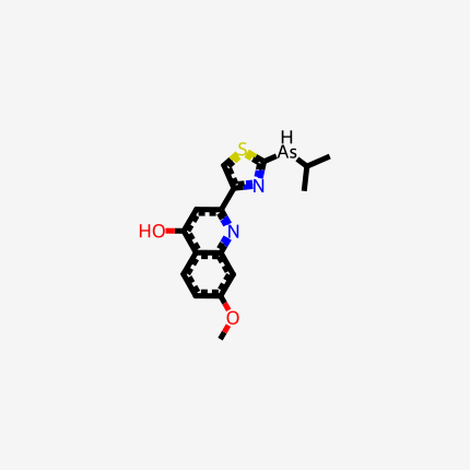 COc1ccc2c(O)cc(-c3csc([AsH]C(C)C)n3)nc2c1